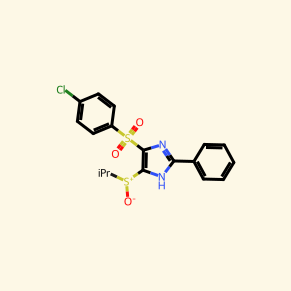 CC(C)[S+]([O-])c1[nH]c(-c2ccccc2)nc1S(=O)(=O)c1ccc(Cl)cc1